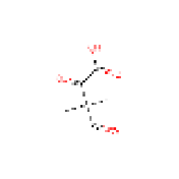 CC(C)(C=O)C(=O)C(=O)O